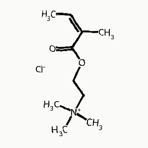 CC=C(C)C(=O)OCC[N+](C)(C)C.[Cl-]